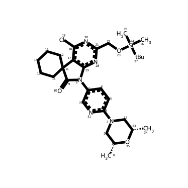 C[C@@H]1CN(c2ccc(N3C(=O)C4(CCCCC4)c4c(Cl)nc(CO[Si](C)(C)C(C)(C)C)nc43)cn2)C[C@H](C)O1